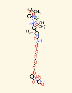 Cc1cc(Nc2ncc(Cl)c(Nc3ccccc3S(=O)(=O)C(C)C)n2)c(OC(C)C)cc1C1CCN(CC(=O)NCCOCCOCCOCCOCCOCCOc2cccc3c2C(=O)N(C2CCC(=O)NC2=O)C3=O)CC1